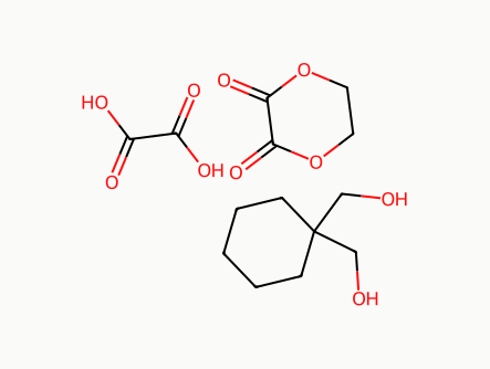 O=C(O)C(=O)O.O=C1OCCOC1=O.OCC1(CO)CCCCC1